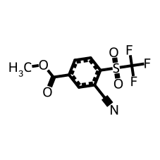 COC(=O)c1ccc(S(=O)(=O)C(F)(F)F)c(C#N)c1